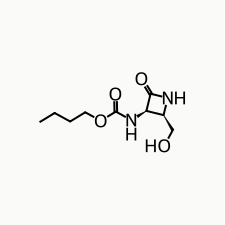 CCCCOC(=O)N[C@H]1C(=O)N[C@H]1CO